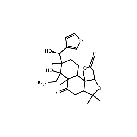 CC1(C)OC2CC(=O)OCC23C1CC(=O)C1(C)C3CC[C@@](C)([C@@H](O)c2ccoc2)C1(O)CC(=O)O